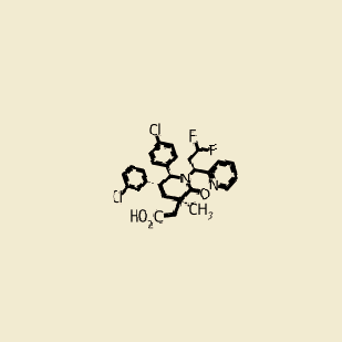 C[C@]1(CC(=O)O)C[C@H](c2cccc(Cl)c2)[C@@H](c2ccc(Cl)cc2)N([C@@H](CC(F)F)c2ccccn2)C1=O